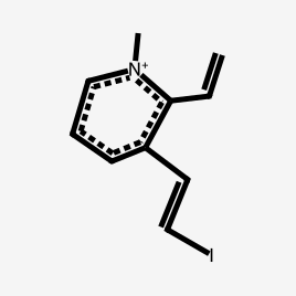 C=Cc1c(C=CI)ccc[n+]1C